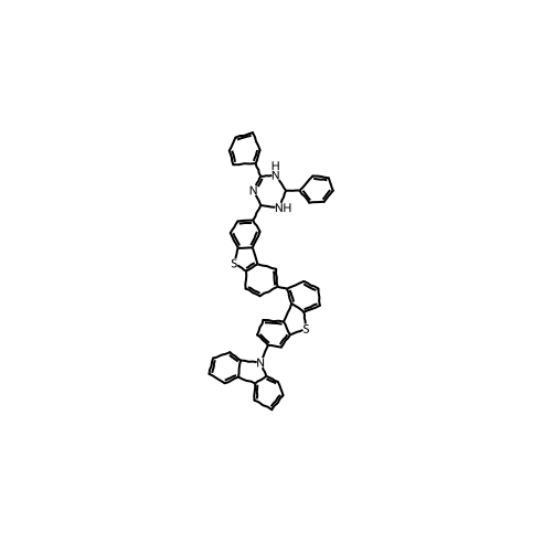 c1ccc(C2=NC(c3ccc4sc5ccc(-c6cccc7sc8cc(-n9c%10ccccc%10c%10ccccc%109)ccc8c67)cc5c4c3)NC(c3ccccc3)N2)cc1